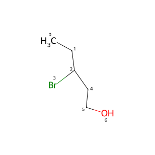 CCC(Br)CCO